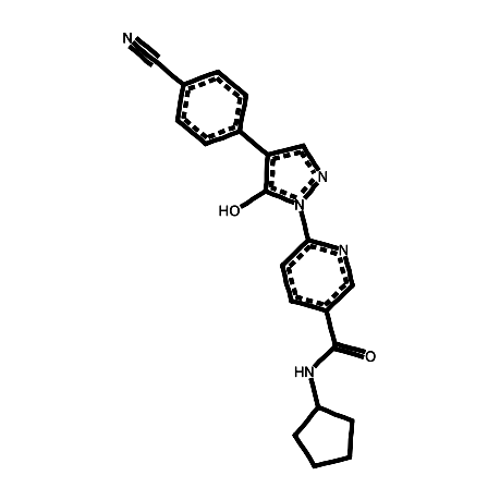 N#Cc1ccc(-c2cnn(-c3ccc(C(=O)NC4CCCC4)cn3)c2O)cc1